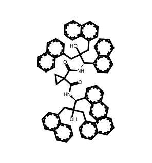 O=C(N[C@@H](c1cccc2ccccc12)C(O)(Cc1cccc2ccccc12)Cc1cccc2ccccc12)C1(C(=O)N[C@@H](c2cccc3ccccc23)C(O)(Cc2cccc3ccccc23)Cc2cccc3ccccc23)CC1